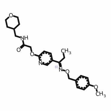 CC/C(=N\OCc1ccc(OC)cc1)c1ccc(OCC(=O)NCC2CCOCC2)nc1